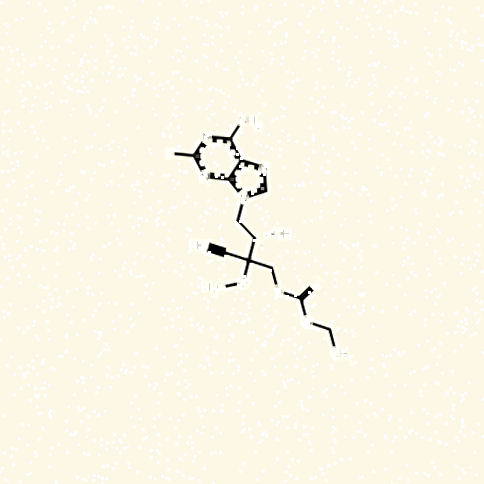 C#CC(COC(=O)OCC)(OC)[C@@H](O)Cn1cnc2c(N)nc(F)nc21